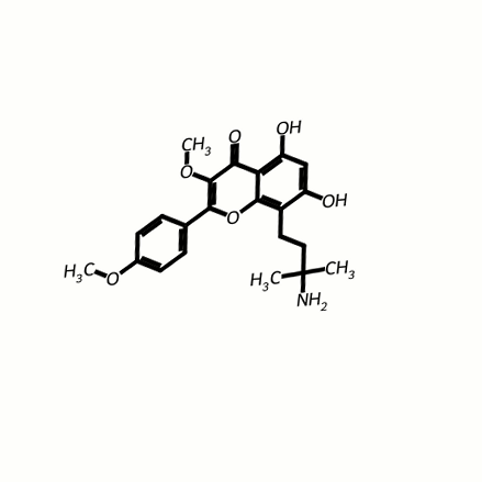 COc1ccc(-c2oc3c(CCC(C)(C)N)c(O)cc(O)c3c(=O)c2OC)cc1